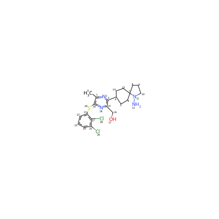 Cc1nc(C2CCC3(CCCN3N)CC2)c(CO)nc1Sc1cccc(Cl)c1Cl